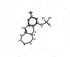 FC(F)(F)Oc1cc(Br)cc2c1CN1CCCCCC1=N2